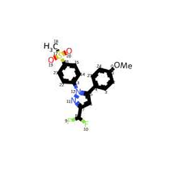 COc1ccc(-c2cc(C(F)F)nn2-c2ccc(S(C)(=O)=O)cc2)cc1